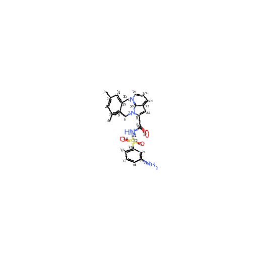 Cc1cc(C)c(Cn2c(C(=O)NS(=O)(=O)c3cccc(N)c3)cc3cccnc32)c(C)c1